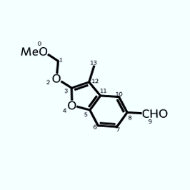 COCOc1oc2ccc(C=O)cc2c1C